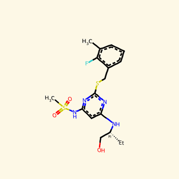 CC[C@H](CO)Nc1cc(NS(C)(=O)=O)nc(SCc2cccc(C)c2F)n1